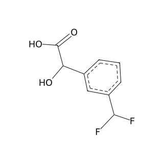 O=C(O)C(O)c1cccc(C(F)F)c1